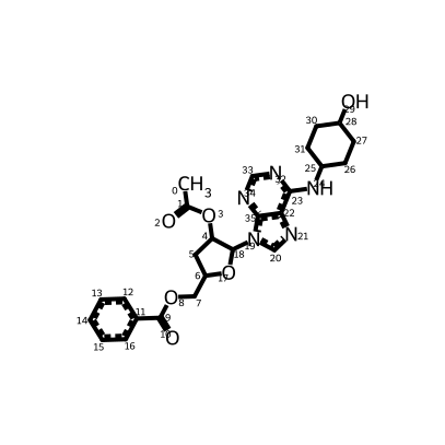 CC(=O)OC1CC(COC(=O)c2ccccc2)OC1n1cnc2c(NC3CCC(O)CC3)ncnc21